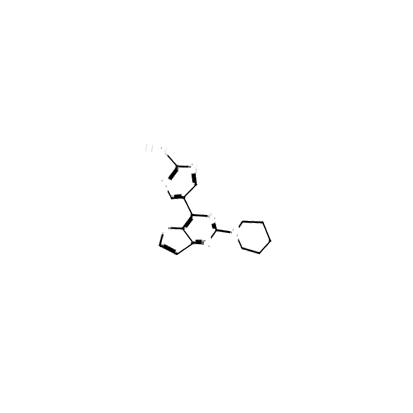 Nc1ncc(-c2nc(N3CCCCC3)nc3ccoc23)cn1